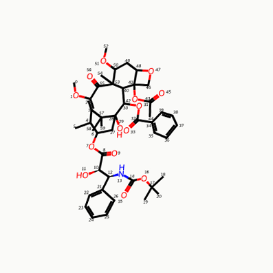 COC1=C2C(C)C(OC(=O)[C@H](O)[C@@H](NC(=O)OC(C)(C)C)c3ccccc3)CC(O)(C(OC(=O)c3ccccc3)C3C4(OC(C)=O)COC4CC(OC)C3(C)C1=O)C2(C)C